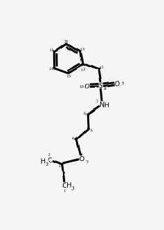 CC(C)OCCCNS(=O)(=O)Cc1ccccc1